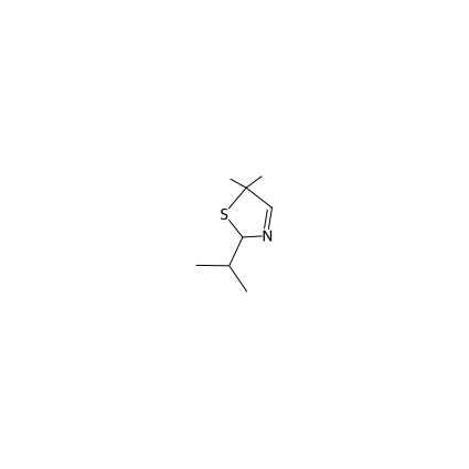 CC(C)C1N=CC(C)(C)S1